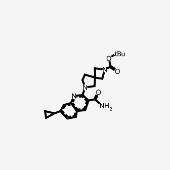 CC(C)(C)OC(=O)N1CC2(CCN(c3nc4cc(C5CC5)ccc4cc3C(N)=O)C2)C1